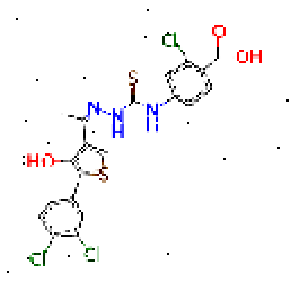 CC(=NNC(=S)Nc1ccc(C(=O)O)c(Cl)c1)c1csc(-c2ccc(Cl)c(Cl)c2)c1O